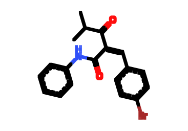 CC(C)C(=O)/C(=C/c1ccc(Br)cc1)C(=O)Nc1ccccc1